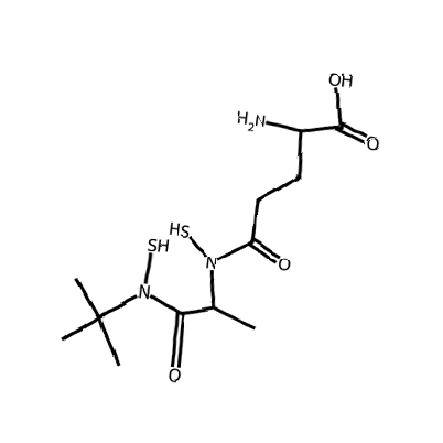 CC(C(=O)N(S)C(C)(C)C)N(S)C(=O)CCC(N)C(=O)O